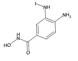 Nc1ccc(C(=O)NO)cc1NI